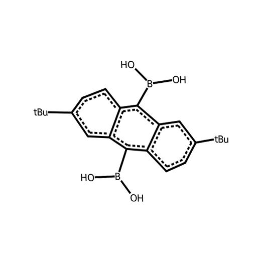 CC(C)(C)c1ccc2c(B(O)O)c3cc(C(C)(C)C)ccc3c(B(O)O)c2c1